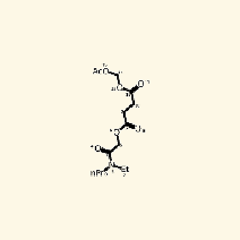 CCCN(CC)C(=O)COC(=O)CCC(=O)OCOC(C)=O